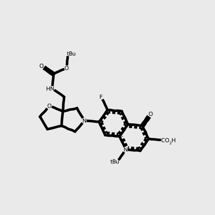 CC(C)(C)OC(=O)NCC12CN(c3cc4c(cc3F)c(=O)c(C(=O)O)cn4C(C)(C)C)CC1CCO2